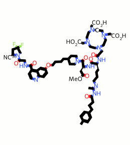 COC(=O)C[C@H](NC(=O)[C@H](CCCC/N=C(\C)NC(=O)CCCc1ccc(C)cc1)NC(=O)CN1CCN(CC(=O)O)CCN(CC(=O)O)CCN(CC(=O)O)CC1)C(=O)N1CCC(CCCCOc2ccc3nccc(C(=O)NCC(=O)N4CC(F)(F)C[C@@H]4C#N)c3c2)CC1